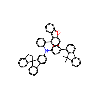 CC1(C)c2ccccc2-c2cccc(-c3ccc(N(c4ccc5c(c4)C4(CCc6ccccc64)c4ccccc4-5)c4ccccc4-c4cccc5oc6ccccc6c45)cc3)c21